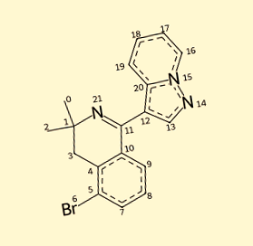 CC1(C)Cc2c(Br)cccc2C(c2cnn3ccccc23)=N1